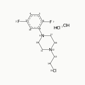 Cl.Cl.Fc1ccc(F)c(N2CCN(CCCl)CC2)c1